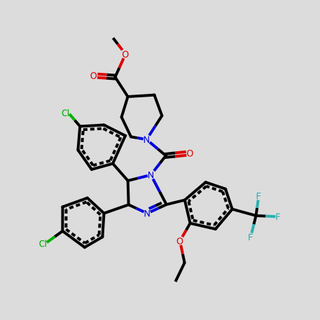 CCOc1cc(C(F)(F)F)ccc1C1=NC(c2ccc(Cl)cc2)C(c2ccc(Cl)cc2)N1C(=O)N1CCC(C(=O)OC)CC1